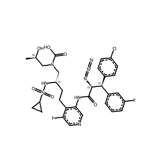 C[C@@H](O)CN(C[C@H](CCc1c(F)cncc1NC(=O)[C@@H](N=[N+]=[N-])[C@@H](c1ccc(Cl)cc1)c1cccc(F)c1)NS(=O)(=O)C1CC1)C(=O)O